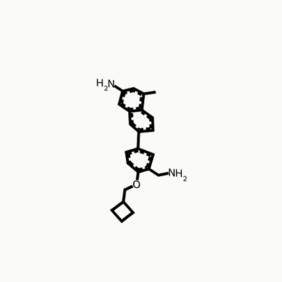 Cc1cc(N)cc2cc(-c3ccc(OCC4CCC4)c(CN)c3)ccc12